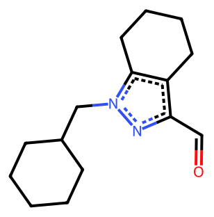 O=Cc1nn(CC2CCCCC2)c2c1CCCC2